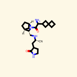 N#C[C@H](CC1CCNC1=O)NC[C@@H]1[C@H]2CC[C@H](C2)N1C(=O)C(N)C1CC2(CCC2)C1